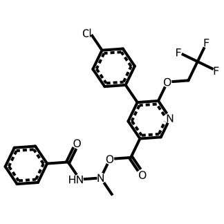 CN(NC(=O)c1ccccc1)OC(=O)c1cnc(OCC(F)(F)F)c(-c2ccc(Cl)cc2)c1